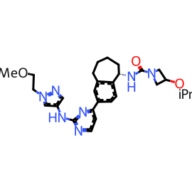 COCCn1cc(Nc2nccc(-c3ccc4c(c3)CCCC[C@@H]4NC(=O)N3CC(OC(C)C)C3)n2)cn1